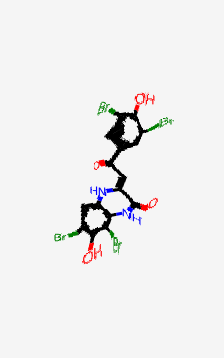 O=C1Nc2c(cc(Br)c(O)c2Br)N/C1=C\C(=O)c1cc(Br)c(O)c(Br)c1